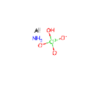 N.[Al].[O-][Cl+3]([O-])([O-])O